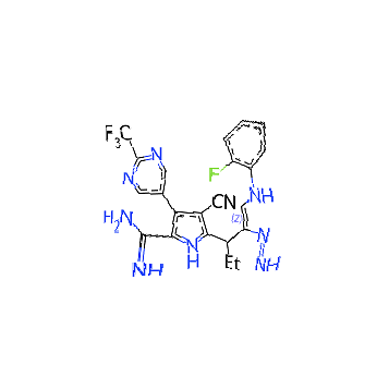 CCC(/C(=C/Nc1ccccc1F)N=N)c1[nH]c(C(=N)N)c(-c2cnc(C(F)(F)F)nc2)c1C#N